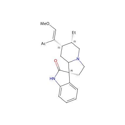 CC[C@@H]1CN2CC[C@]3(C(=O)Nc4ccccc43)C2C[C@@H]1C(=COC)C(C)=O